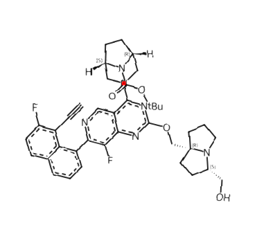 C#Cc1c(F)ccc2cccc(-c3ncc4c(N5C[C@H]6CC[C@@H](C5)N6C(=O)OC(C)(C)C)nc(OC[C@]56CCCN5[C@H](CO)CC6)nc4c3F)c12